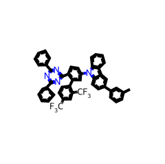 Cc1cccc(-c2ccc3c(c2)c2ccccc2n3-c2ccc(-c3nc(-c4ccccc4)nc(-c4ccccc4)n3)c(-c3ccc(C(F)(F)F)cc3C(F)(F)F)c2)c1